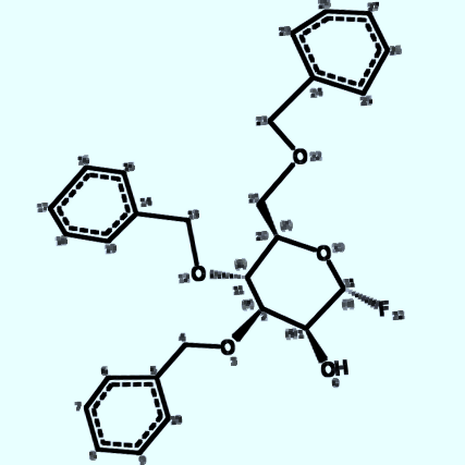 O[C@H]1[C@@H](OCc2ccccc2)[C@H](OCc2ccccc2)[C@@H](COCc2ccccc2)O[C@@H]1F